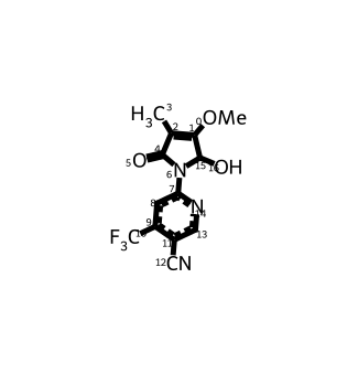 COC1=C(C)C(=O)N(c2cc(C(F)(F)F)c(C#N)cn2)C1O